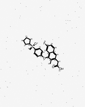 C=S(=O)(c1ccc(Oc2c(C)c(CC(=O)O)cc3ccc(F)cc23)cc1)C1CCCC1